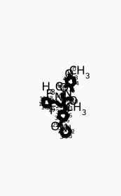 COc1ccc(CN2Cc3nc(-c4c(F)cccc4F)cc(N(C)c4ccc(C(=O)N5CCCCC5)cc4)c3C2=O)c(OC)c1